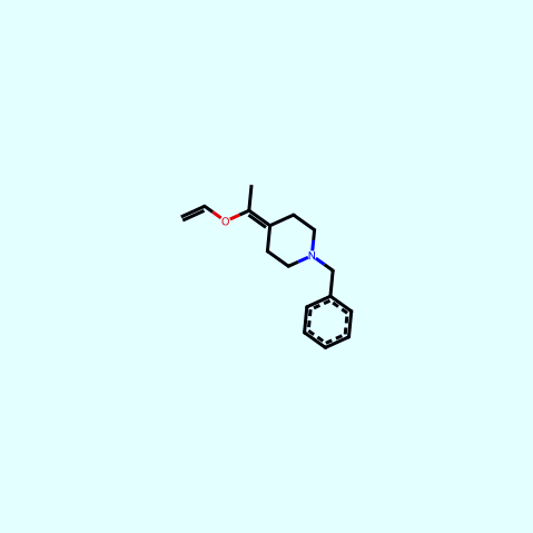 C=COC(C)=C1CCN(Cc2ccccc2)CC1